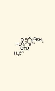 CCOC(=O)C(C(=O)O)c1ccc(OC)cc1